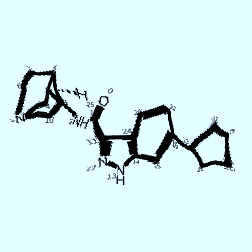 O=C(N[C@H]1CN2CCC1CC2)c1n[nH]c2cc(C3CCCC3)ccc12